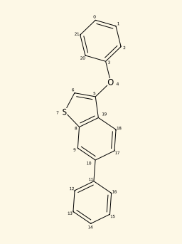 c1ccc(Oc2csc3cc(-c4ccccc4)ccc23)cc1